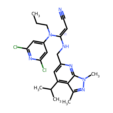 CCCN(/C(=C\C#N)NCc1cc(C(C)C)c2c(C)nn(C)c2n1)c1cc(Cl)nc(Cl)c1